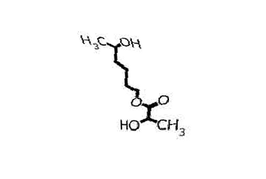 CC(O)CCCCOC(=O)C(C)O